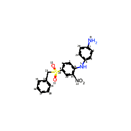 Nc1ccc(Nc2ccc(S(=O)(=O)Cc3ccccc3)cc2[N+](=O)[O-])cc1